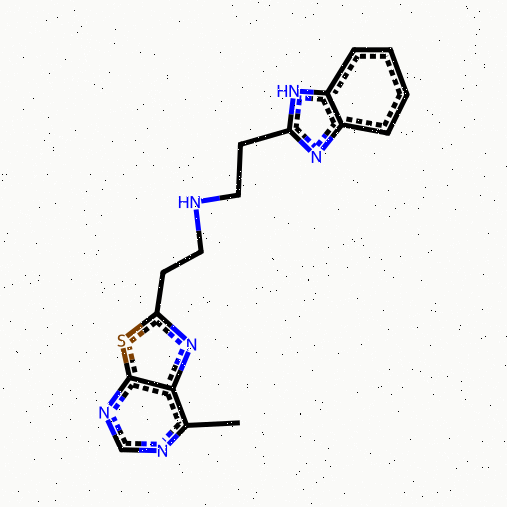 Cc1ncnc2sc(CCNCCc3nc4ccccc4[nH]3)nc12